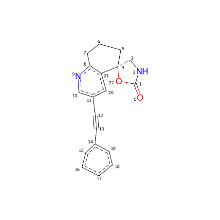 O=C1NC[C@]2(CCCc3ncc(C#Cc4ccccc4)cc32)O1